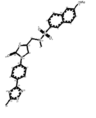 COc1ccc2cc(S(=O)(=O)N(C)CC3CN(c4ccc(-c5noc(C)n5)cc4)C(=O)O3)ccc2c1